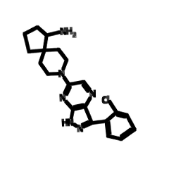 NC1CCCC12CCN(c1cnc3c(-c4ccccc4Cl)n[nH]c3n1)CC2